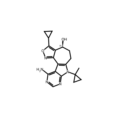 CC1(n2c3c(c4c(N)ncnc42)-c2noc(C4CC4)c2[C@@H](O)CC3)CC1